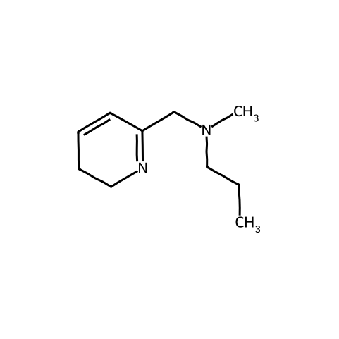 CCCN(C)CC1=NCCC=C1